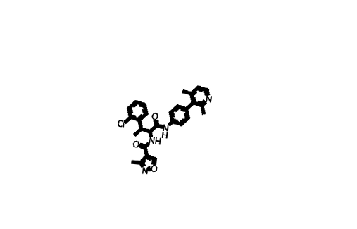 Cc1ccnc(C)c1-c1ccc(NC(=O)C(NC(=O)c2conc2C)C(C)c2ccccc2Cl)cc1